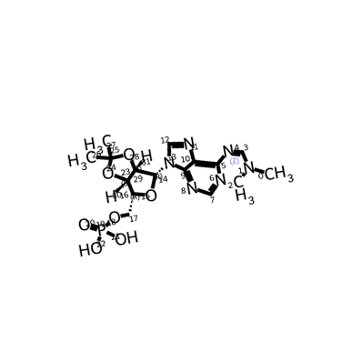 CN(C)/C=N\c1ncnc2c1ncn2[C@@H]1O[C@H](COP(=O)(O)O)[C@@H]2OC(C)(C)O[C@@H]21